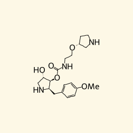 COc1ccc(C[C@H]2NC[C@H](O)[C@H]2OC(=O)NCCO[C@@H]2CCNC2)cc1